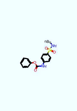 CCCCNS(=O)(=O)c1ccc(NC(=O)Oc2ccccc2)cc1